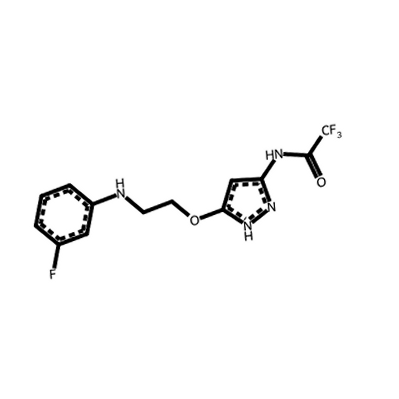 O=C(Nc1cc(OCCNc2cccc(F)c2)[nH]n1)C(F)(F)F